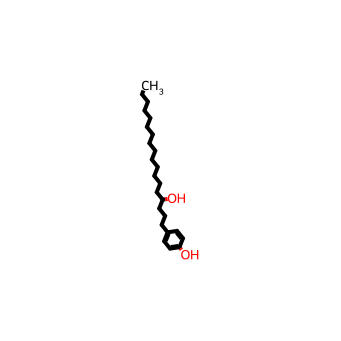 CCCCCCCCCCCCCCC(O)CCCc1ccc(O)cc1